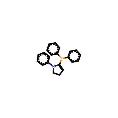 C1=C(P(c2ccccc2)c2ccccc2)N(c2ccccc2)CC1